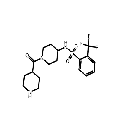 O=C(C1CCNCC1)N1CCC(NS(=O)(=O)c2ccccc2C(F)(F)F)CC1